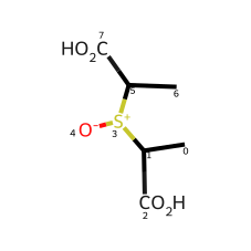 CC(C(=O)O)[S+]([O-])C(C)C(=O)O